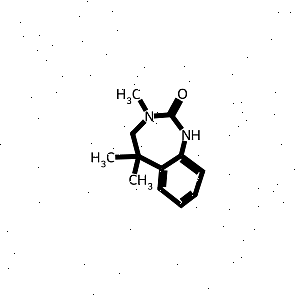 CN1CC(C)(C)c2ccccc2NC1=O